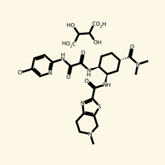 CN1CCc2nc(C(=O)N[C@@H]3C[C@@H](C(=O)N(C)C)CC[C@@H]3NC(=O)C(=O)Nc3ccc(Cl)cn3)sc2C1.O=C(O)C(O)C(O)C(=O)O